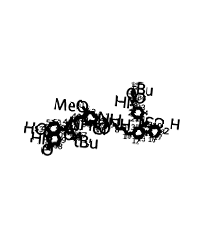 COc1cc(NC(=O)NCCCc2ccc(-c3ccccc3)c(N(C(=O)O)[C@H]3CC[C@H](NC(=O)OC(C)(C)C)CC3)c2)c(Cl)cc1CNCC(O[Si](C)(C)C(C)(C)C)c1ccc(O)c2[nH]c(=O)ccc12